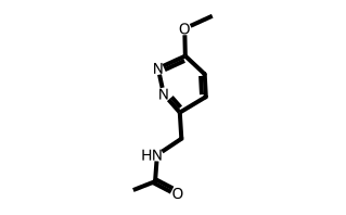 COc1ccc(CNC(C)=O)nn1